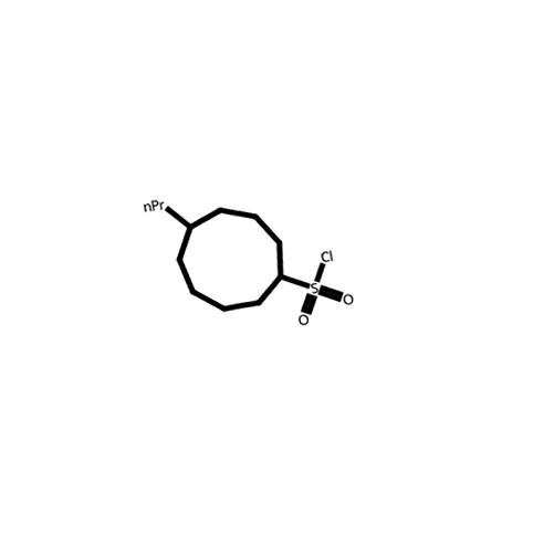 CCCC1CCCCC(S(=O)(=O)Cl)CCC1